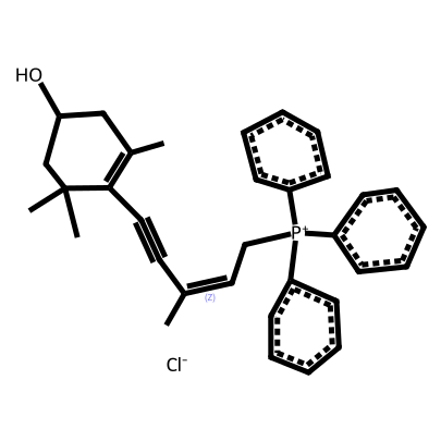 CC1=C(C#C/C(C)=C\C[P+](c2ccccc2)(c2ccccc2)c2ccccc2)C(C)(C)CC(O)C1.[Cl-]